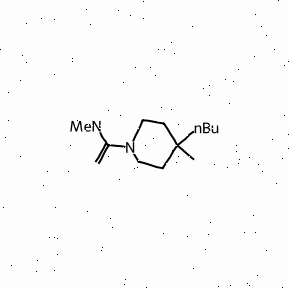 C=C(NC)N1CCC(C)(CCCC)CC1